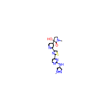 CN1CC[C@](O)(c2ccnc(-c3csc(-c4ccnc(Nc5cnn(C)c5)n4)n3)c2)C1=O